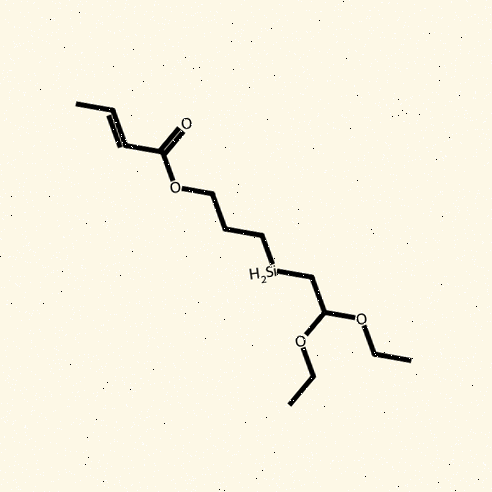 CC=CC(=O)OCCC[SiH2]CC(OCC)OCC